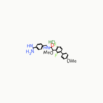 COc1ccc(-c2ccc(F)c(C(OC)C(=O)NCc3ccc(C(=N)N)cc3)c2F)cc1.Cl